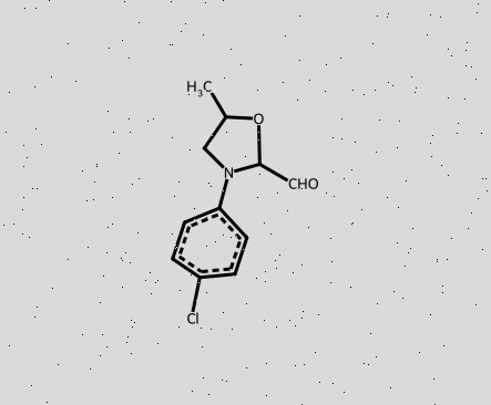 CC1CN(c2ccc(Cl)cc2)C(C=O)O1